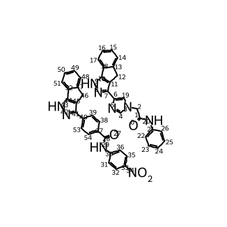 O=C(Cn1cnc(-c2n[nH]c3c2Cc2ccccc2-3)c1)Nc1ccccc1.O=C(Nc1ccc([N+](=O)[O-])cc1)c1ccc(-c2n[nH]c3c2Cc2ccccc2-3)cc1